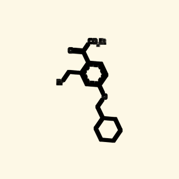 CCOC(=O)C(=O)c1ccc(OCC2CCCCC2)cc1CBr